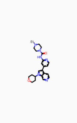 CCN1CCN(C(=O)Nc2cc(-c3cn(C4CCOCC4)c4cnccc34)ccn2)CC1